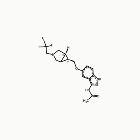 CC(=O)Nc1c[nH]c2ccc(OC[C@H]3C4CN(CC(F)(F)F)C[C@@H]43)cc12